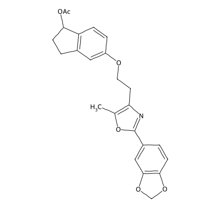 CC(=O)OC1CCc2cc(OCCc3nc(-c4ccc5c(c4)OCO5)oc3C)ccc21